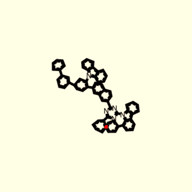 c1ccc(-c2cccc(-c3ccc(-c4ccc5ccc(-c6nc(-c7ccccc7)nc(-n7c8ccccc8c8cccc(-c9ccccc9)c87)n6)cc5c4)c(-n4c5ccccc5c5ccccc54)c3)c2)cc1